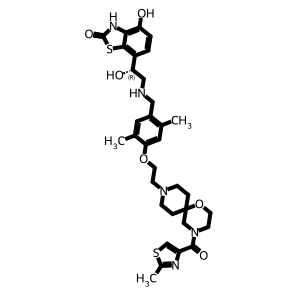 Cc1nc(C(=O)N2CCOC3(CCN(CCOc4cc(C)c(CNC[C@H](O)c5ccc(O)c6[nH]c(=O)sc56)cc4C)CC3)C2)cs1